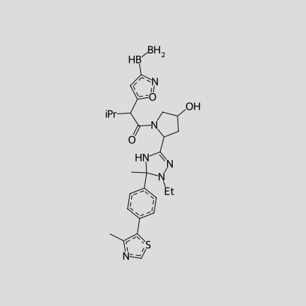 BBc1cc(C(C(=O)N2CC(O)CC2C2=NN(CC)C(C)(c3ccc(-c4scnc4C)cc3)N2)C(C)C)on1